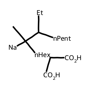 CCCCCC[C](C)([Na])C(CC)CCCCC.O=C(O)CC(=O)O